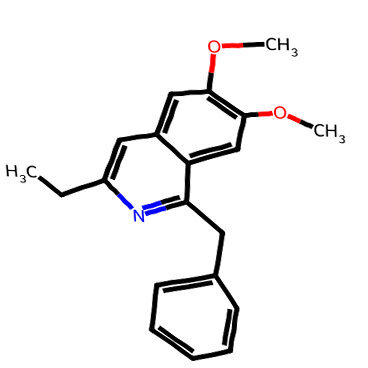 CCc1cc2cc(OC)c(OC)cc2c(Cc2ccccc2)n1